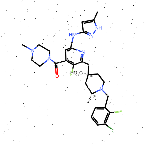 Cc1cc(Nc2cc(C(=O)N3CCN(C)CC3)c(F)c(C[C@@]3(C(=O)O)CCN(Cc4cccc(Cl)c4F)[C@H](C)C3)n2)n[nH]1